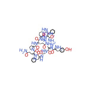 C[C@@H](NC(=O)[C@@H](N)Cc1ccc(O)cc1)C(=O)NCC(=O)N[C@@H](Cc1ccccc1)C(=O)N[C@@H](CCC(N)=O)C(=O)N1CCC[C@H]1C(=O)N[C@@H](CCC(N)=O)C(=O)N[C@@H](CCCNC(=N)N)C(=O)N[C@@H](Cc1ccccc1)C(N)=O